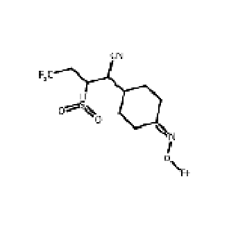 CCON=C1CCC(C(C#N)C(CC(F)(F)F)[SH](=O)=O)CC1